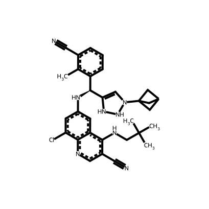 Cc1c(C#N)cccc1[C@H](Nc1cc(Cl)c2ncc(C#N)c(NCC(C)(C)C)c2c1)C1=CN(C23CC(C2)C3)NN1